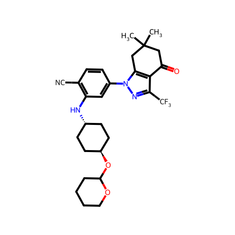 CC1(C)CC(=O)c2c(C(F)(F)F)nn(-c3ccc(C#N)c(N[C@H]4CC[C@H](OC5CCCCO5)CC4)c3)c2C1